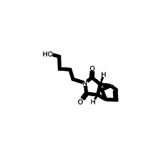 O=C1[C@@H]2C3C=CC(C3)[C@@H]2C(=O)N1CCCCO